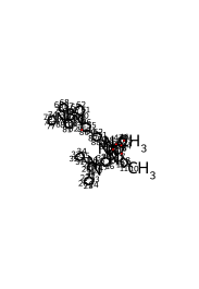 Cc1ccc2c(c1)c1cc(C)ccc1n2-c1ccc(-c2nc(-c3ccccc3)cc(-c3ccccc3)n2)cc1-c1nc(-c2ccccc2)nc(-c2ccc(-c3ccc(N4c5ccccc5B5c6ccccc6N(c6ccccc6)c6cccc4c65)cc3)cc2)n1